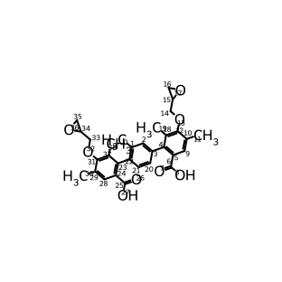 Cc1cc(-c2c(C(=O)O)cc(C)c(OCC3CO3)c2C)ccc1-c1c(C(=O)O)cc(C)c(OCC2CO2)c1C